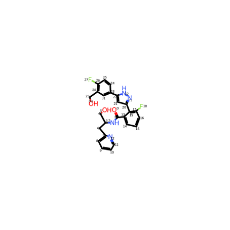 O=C(NC(CO)Cc1ccccn1)c1cccc(F)c1-c1cc(-c2ccc(F)c(CO)c2)[nH]n1